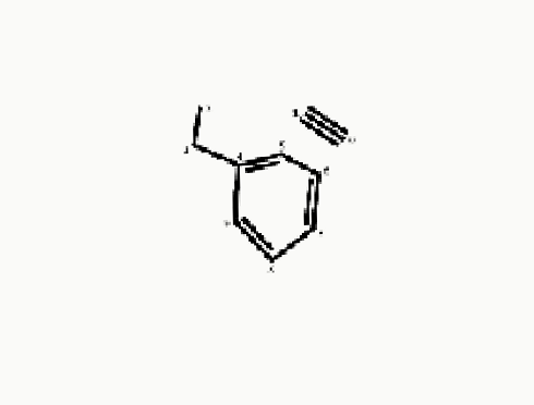 C#C.CCc1ccccc1